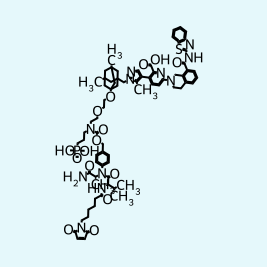 Cc1c(-c2ccc(N3CCc4cccc(C(=O)Nc5nc6ccccc6s5)c4C3)nc2C(=O)O)cnn1CC12CC3(C)CC(C)(C1)CC(OCCOCCN(CCCP(=O)(O)O)C(=O)OCc1ccc(N(C(=O)[C@@H](NC(=O)CCCCCN4C(=O)C=CC4=O)C(C)C)[C@@H](C)C(N)=O)cc1)(C3)C2